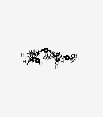 CC(=O)N[C@H](C(=O)N1C[C@H](O)C[C@H]1C(=O)NCc1ccc(-c2scnc2C)cc1)C(C)(C)SCCc1ccc(CCNC(=O)C[C@@H]2N=C(c3ccc(Cl)cc3)c3c(sc(C)c3C)-n3c(C)nnc32)cc1